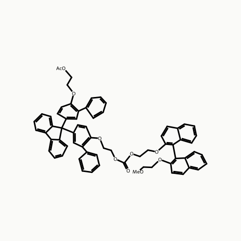 COCCOc1ccc2ccccc2c1-c1c(OCCOC(=O)OCCOc2ccc(C3(c4ccc(OCCOC(C)=O)c(-c5ccccc5)c4)c4ccccc4-c4ccccc43)cc2-c2ccccc2)ccc2ccccc12